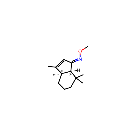 CON=C1C=C(C)[C@]2(C)CCCC(C)(C)[C@H]12